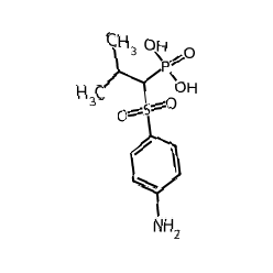 CC(C)C(P(=O)(O)O)S(=O)(=O)c1ccc(N)cc1